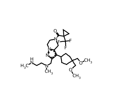 CNCCN(C)Cc1nn2c(c1C1CCC(COC)(COC)CC1)CN(C(=O)C1(C(F)(F)F)CC1)CC2